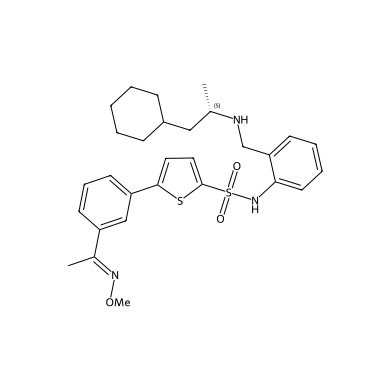 CON=C(C)c1cccc(-c2ccc(S(=O)(=O)Nc3ccccc3CN[C@@H](C)CC3CCCCC3)s2)c1